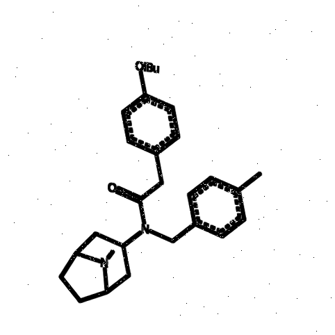 Cc1ccc(CN(C(=O)Cc2ccc(OCC(C)C)cc2)C2CC3CCC(C2)N3C)cc1